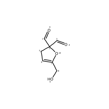 O=CC1(C=O)CC=C(CO)O1